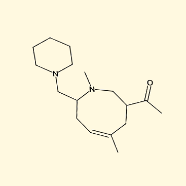 CC(=O)C1C/C(C)=C\CC(CN2CCCCC2)N(C)C1